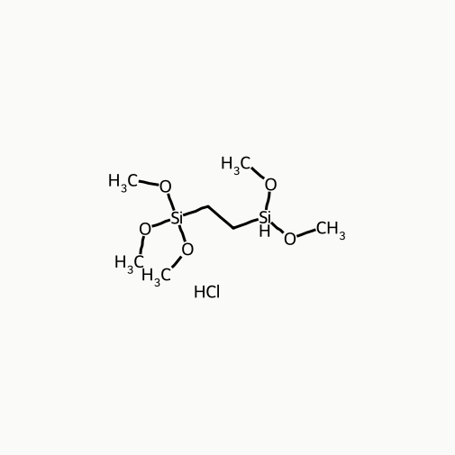 CO[SiH](CC[Si](OC)(OC)OC)OC.Cl